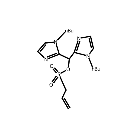 C=CCS(=O)(=O)OC(c1nccn1CCCC)c1nccn1CCCC